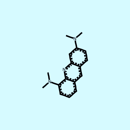 CN(C)c1ccc2cc3cccc(N(C)C)c3nc2c1